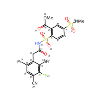 CNS(=O)(=O)c1ccc(S(=O)(=O)NC(=O)Cc2c(C(C)C)cc(C#N)c(F)c2C(C)C)c(C(=O)OC)c1